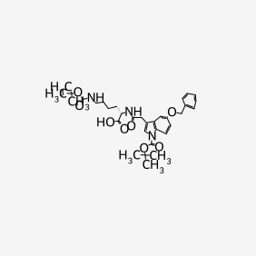 CC(C)(C)OC(=O)NCCCC[C@H](NC(=O)Cc1cn(C(=O)OC(C)(C)C)c2ccc(OCc3ccccc3)cc12)C(=O)O